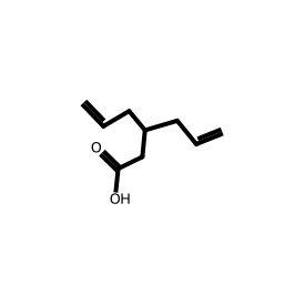 C=CCC(CC=C)CC(=O)O